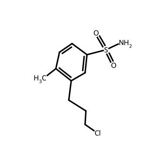 Cc1ccc(S(N)(=O)=O)cc1CCCCl